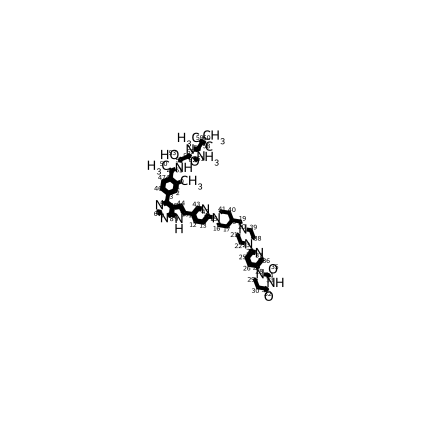 Cc1cc(-c2ncnc3[nH]c(-c4ccc(N5CCC(CN6CCN(c7ccc(N8CCC(=O)NC8=O)cn7)CC6)CC5)nc4)cc23)ccc1[C@@H](C)NC(O)c1nc(C(C)(C)C)no1